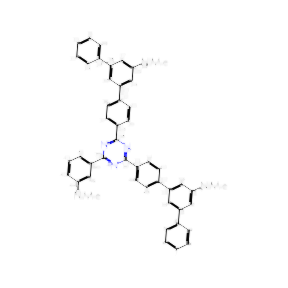 CNc1cc(-c2ccccc2)cc(-c2ccc(-c3nc(-c4ccc(-c5cc(NC)cc(-c6ccccc6)c5)cc4)nc(-c4cccc(NC)c4)n3)cc2)c1